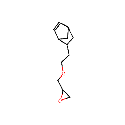 C1=CC2CC1CC2CCOCC1CO1